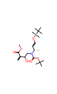 C=C(C(=O)OC)C(O)CN(C(=O)OC(C)(C)C)[C@@H](C)C=CO[Si](C)(C)C(C)(C)C